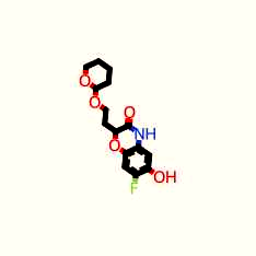 O=C1Nc2cc(O)c(F)cc2OC1CCOC1CCCCO1